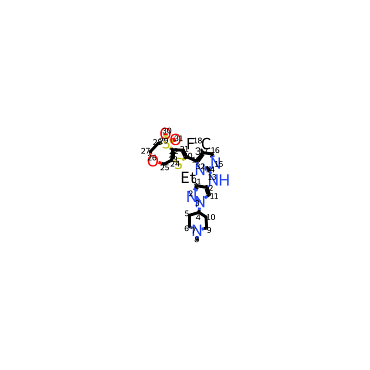 CCc1nn(C2CCN(C)CC2)cc1Nc1ncc(C(F)(F)F)c(-c2cc3c(s2)COCCS3(=O)=O)n1